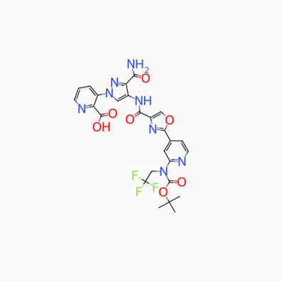 CC(C)(C)OC(=O)N(CC(F)(F)F)c1cc(-c2nc(C(=O)Nc3cn(-c4cccnc4C(=O)O)nc3C(N)=O)co2)ccn1